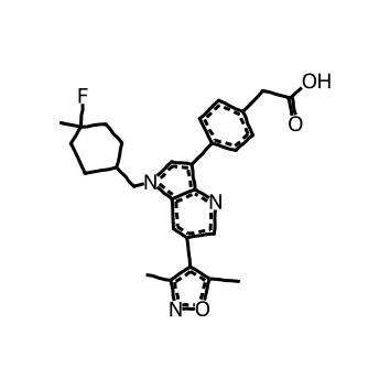 Cc1noc(C)c1-c1cnc2c(-c3ccc(CC(=O)O)cc3)cn(CC3CCC(C)(F)CC3)c2c1